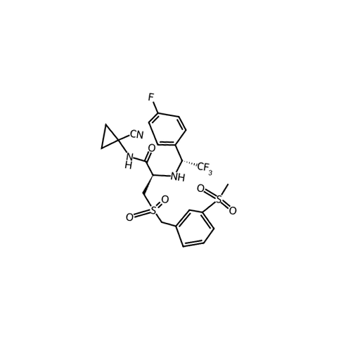 CS(=O)(=O)c1cccc(CS(=O)(=O)C[C@H](N[C@H](c2ccc(F)cc2)C(F)(F)F)C(=O)NC2(C#N)CC2)c1